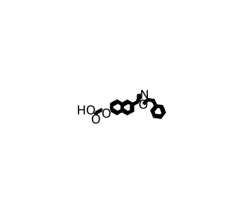 O=C(O)COc1ccc2cc(-c3cnc(Cc4ccccc4)o3)ccc2c1